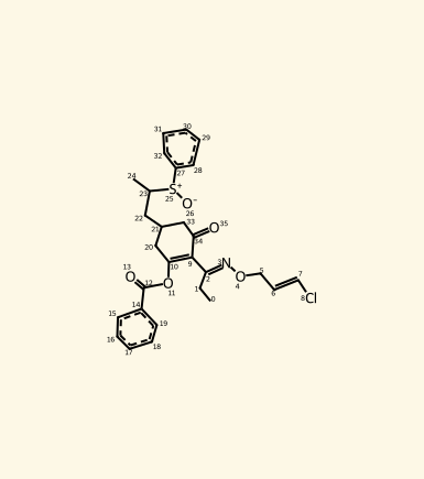 CCC(=NOCC=CCl)C1=C(OC(=O)c2ccccc2)CC(CC(C)[S+]([O-])c2ccccc2)CC1=O